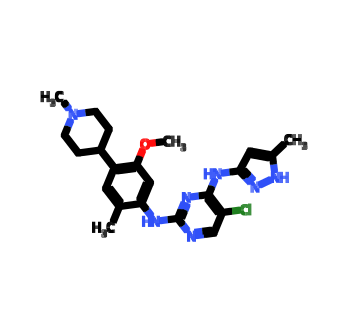 COc1cc(Nc2ncc(Cl)c(Nc3cc(C)[nH]n3)n2)c(C)cc1C1CCN(C)CC1